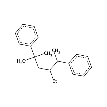 CCC(CC(C)(C)c1ccccc1)[C](C)c1ccccc1